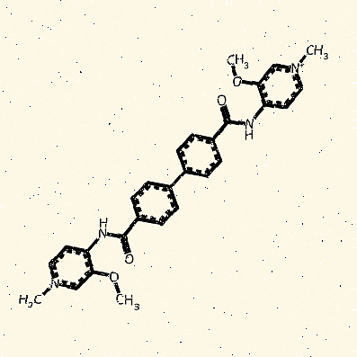 COc1c[n+](C)ccc1NC(=O)c1ccc(-c2ccc(C(=O)Nc3cc[n+](C)cc3OC)cc2)cc1